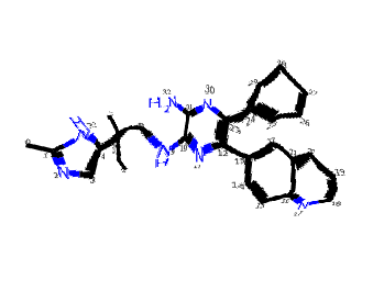 Cc1ncc(C(C)(C)CNc2nc(-c3ccc4ncccc4c3)c(-c3ccccc3)nc2N)[nH]1